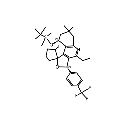 CCc1nc2c(c3c1[C@@H](c1ccc(C(F)(F)F)cc1)OC31CCCC1I)[C@@H](O[Si](C)(C)C(C)(C)C)CC(C)(C)C2